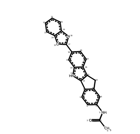 CC(=O)Nc1ccc2c(c1)Cc1c-2[nH]c2cc(-c3nc4ccccc4o3)ccc12